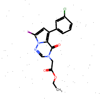 CCOC(=O)Cn1cnn2c(I)cc(-c3cccc(Cl)c3)c2c1=O